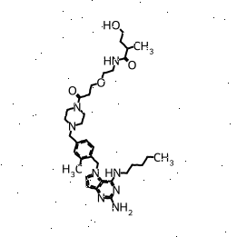 CCCCCNc1nc(N)nc2ccn(Cc3ccc(CN4CCN(C(=O)CCOCCNC(=O)C(C)CCO)CC4)cc3C)c12